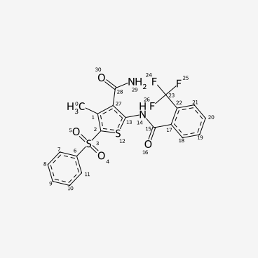 Cc1c(S(=O)(=O)c2ccccc2)sc(NC(=O)c2ccccc2C(F)(F)F)c1C(N)=O